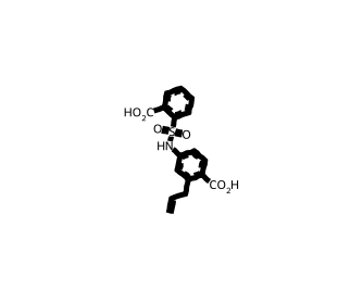 C=CCc1cc(NS(=O)(=O)c2ccccc2C(=O)O)ccc1C(=O)O